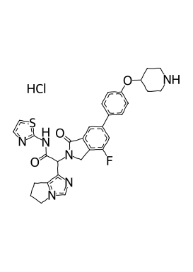 Cl.O=C(Nc1nccs1)C(c1ncn2c1CCC2)N1Cc2c(F)cc(-c3ccc(OC4CCNCC4)cc3)cc2C1=O